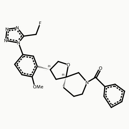 COc1ccc(-n2nnnc2CF)cc1[C@@H]1CO[C@]2(CCCN(C(=O)c3ccccc3)C2)C1